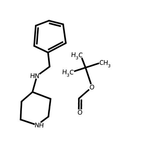 CC(C)(C)OC=O.c1ccc(CNC2CCNCC2)cc1